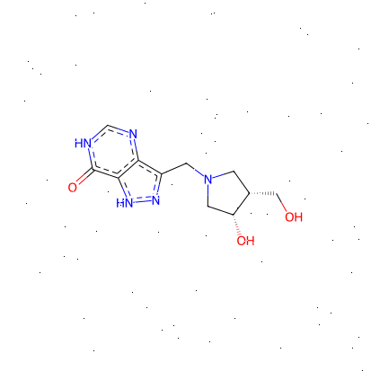 O=c1[nH]cnc2c(CN3C[C@H](CO)[C@H](O)C3)n[nH]c12